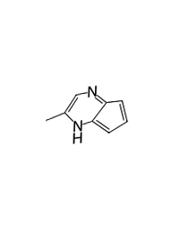 Cc1cnc2cccc-2[nH]1